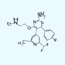 CCNCCOc1nc(N)nc(-c2ccc(F)cc2)c1-c1cc(C)nc(C(F)F)c1